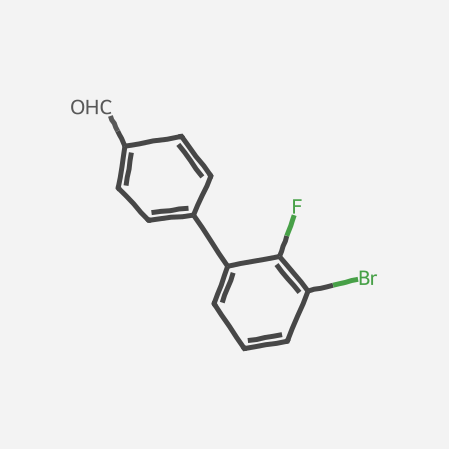 O=Cc1ccc(-c2cccc(Br)c2F)cc1